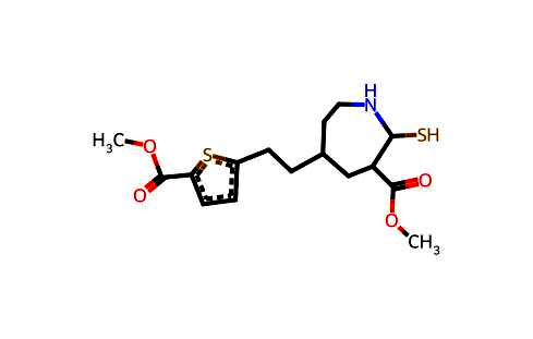 COC(=O)c1ccc(CCC2CCNC(S)C(C(=O)OC)C2)s1